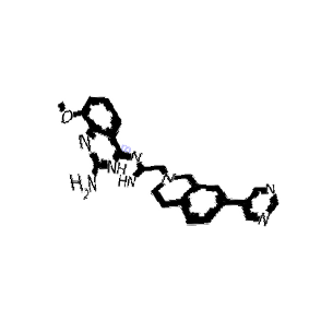 COc1cccc2/c(=N/C(=N)CN3CCc4ccc(-c5cncnc5)cc4C3)[nH]c(N)nc12